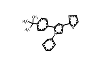 CC(C)(C)c1ccc(-c2cc(-c3cccs3)cn2-c2ccccc2)cc1